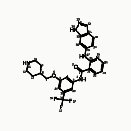 O=C(Nc1cc(OCC2CCNCC2)cc(C(F)(F)F)c1)c1cccnc1Nc1ccc2cn[nH]c2c1